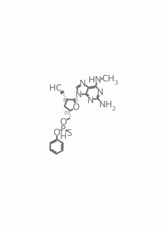 C#C[C@H]1C[C@@H](CO[PH](=S)Oc2ccccc2)O[C@H]1n1cnc2c(NC)nc(N)nc21